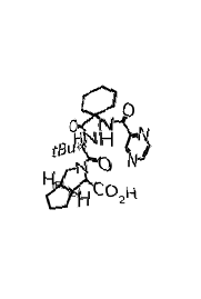 CC(C)(C)[C@H](NC(=O)C1(NC(=O)c2cnccn2)CCCCC1)C(=O)N1C[C@@H]2CCC[C@@H]2C1C(=O)O